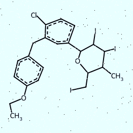 CCOc1ccc(Cc2cc(C3OC(CI)C(C)C(I)C3I)ccc2Cl)cc1